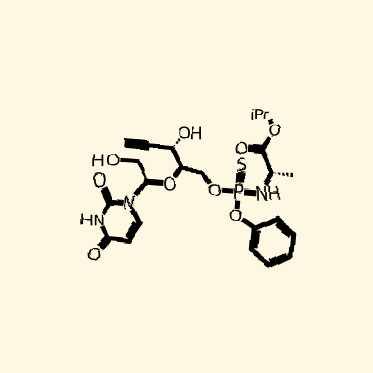 C#C[C@H](O)C(COP(=S)(N[C@@H](C)C(=O)OC(C)C)Oc1ccccc1)O[C@H](CO)n1ccc(=O)[nH]c1=O